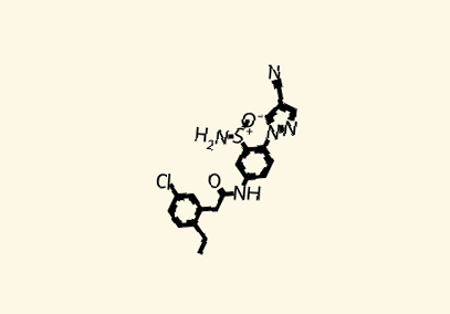 CCc1ccc(Cl)cc1CC(=O)Nc1ccc(-n2cc(C#N)cn2)c([S+](N)[O-])c1